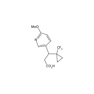 COc1ccc(C(CC(=O)O)C2(C(F)(F)F)CC2)cn1